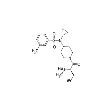 C[AsH][C@H](CC(C)C)C(=O)N1CCC(N(C2CC2)S(=O)(=O)c2cccc(C(F)(F)F)c2)CC1